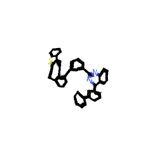 c1ccc(-c2cccc(-c3nc(-c4cccc(-c5cccc6cc7sc8ccccc8c7cc56)c4)nc4ccccc34)c2)cc1